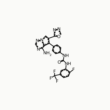 Nc1ncnn2cc(-c3nnco3)c(-c3ccc(NC(=O)Nc4cc(C(F)(F)F)ccc4F)cc3)c12